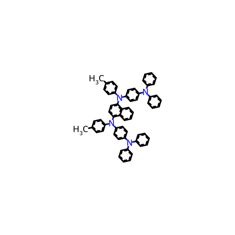 Cc1ccc(N(c2ccc(N(c3ccccc3)c3ccccc3)cc2)c2ccc(N(c3ccc(C)cc3)c3ccc(N(c4ccccc4)c4ccccc4)cc3)c3ccccc23)cc1